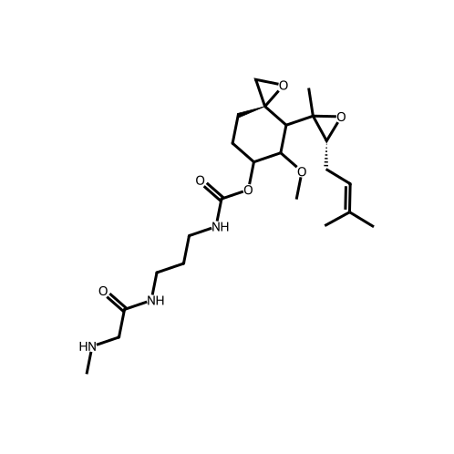 CNCC(=O)NCCCNC(=O)OC1CC[C@]2(CO2)C(C2(C)O[C@@H]2CC=C(C)C)C1OC